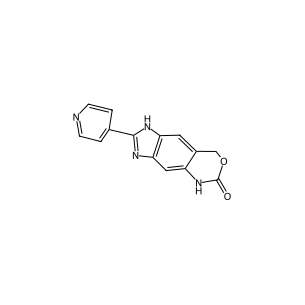 O=C1Nc2cc3nc(-c4ccncc4)[nH]c3cc2CO1